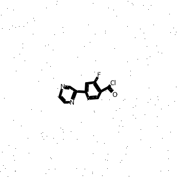 O=C(Cl)c1ccc(-c2cnccn2)cc1F